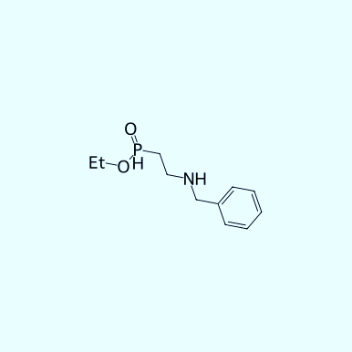 CCO[PH](=O)CCNCc1ccccc1